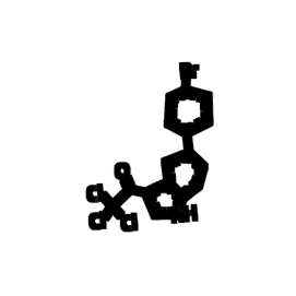 O=C(c1c[nH]c2ccc(-c3ccc(Br)cc3)cc12)C(Cl)(Cl)Cl